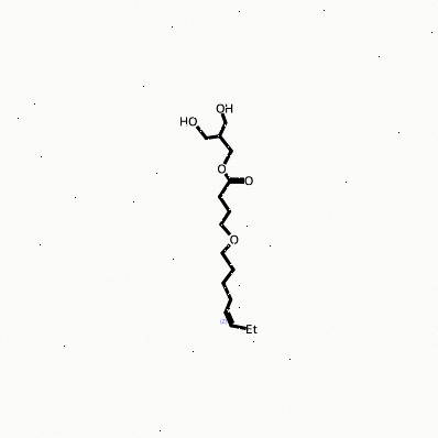 CC/C=C\CCCCOCCCC(=O)OCC(CO)CO